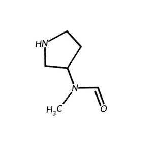 CN(C=O)C1CCNC1